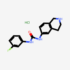 Cl.O=C(Nc1cccc(F)c1)Nc1ccc2c(c1)CCNC2